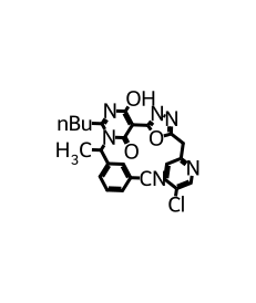 CCCCc1nc(O)c(-c2nnc(Cc3ccc(Cl)cn3)o2)c(=O)n1C(C)c1cccc(C#N)c1